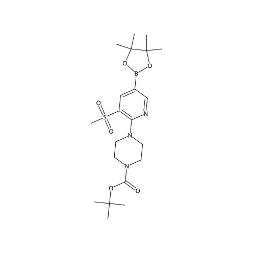 CC(C)(C)OC(=O)N1CCN(c2ncc(B3OC(C)(C)C(C)(C)O3)cc2S(C)(=O)=O)CC1